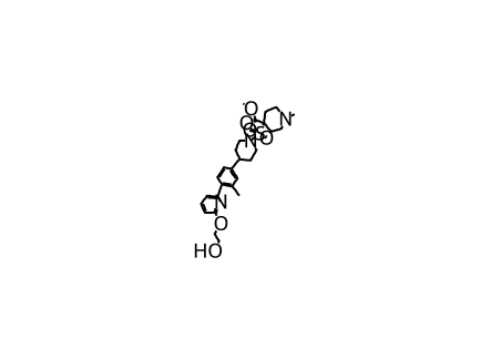 COC(=O)C1(S(=O)(=O)N2CCC(c3ccc(-c4cccc(OCCO)n4)c(C)c3)CC2)CCN(C)CC1